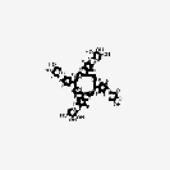 C[C@@H]1[C@@H](O)[C@H](O)CO[C@H]1Sc1c(F)c(F)c(-c2c3nc(c(-c4c(F)c(F)c(S[C@@H]5OC[C@@H](O)[C@H](O)[C@H]5O)c(F)c4F)c4ccc([nH]4)c(-c4c(F)c(F)c(S[C@@H]5OC[C@@H](O)[C@H](O)[C@H]5O)c(F)c4F)c4nc(c(-c5c(F)c(F)c(S[C@@H]6OC[C@@H](O)[C@H](O)[C@H]6O)c(F)c5F)c5ccc2[nH]5)C=C4)C=C3)c(F)c1F